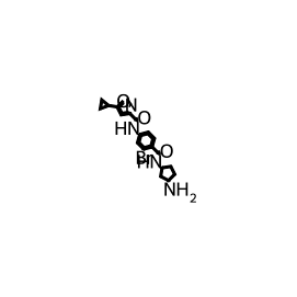 NC1CCC(NC(=O)c2ccc(NC(=O)c3cc(C4CC4)on3)cc2Br)C1